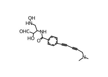 CN(C)CC#CC#Cc1ccc(C(=O)NC(CNO)C(O)C=O)cc1